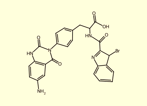 Nc1ccc2[nH]c(=O)n(-c3ccc(CC(NC(=O)C4=Nc5ccccc5C4Br)C(=O)O)cc3)c(=O)c2c1